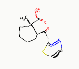 C[C@]1(C(=O)O)CCC[C@@H]1C(=O)c1nccs1